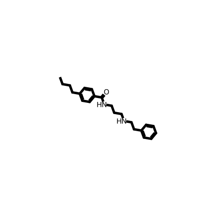 CCCCc1ccc(C(=O)NCCCNCCc2ccccc2)cc1